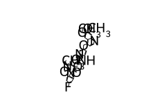 CCn1cc(OC(=O)Nc2ccc(Oc3ccnc4cc(OC)c(OC)cc34)cn2)c(=O)n(-c2ccc(F)cc2)c1=O